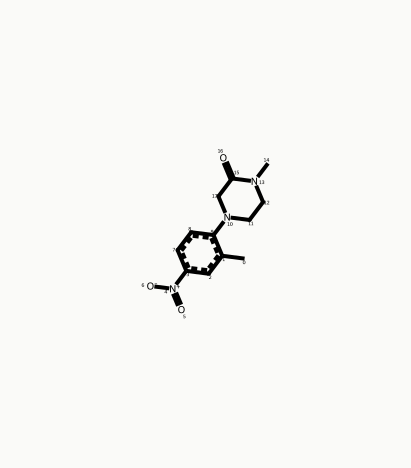 Cc1cc([N+](=O)[O-])ccc1N1CCN(C)C(=O)C1